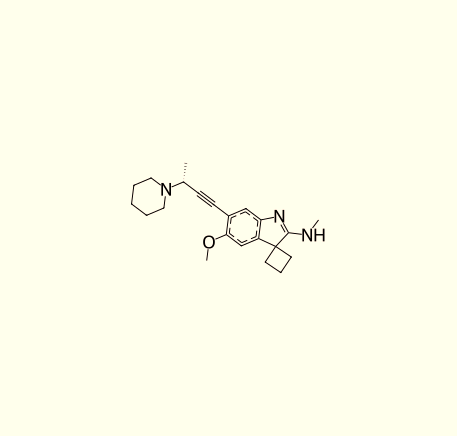 CNC1=Nc2cc(C#C[C@@H](C)N3CCCCC3)c(OC)cc2C12CCC2